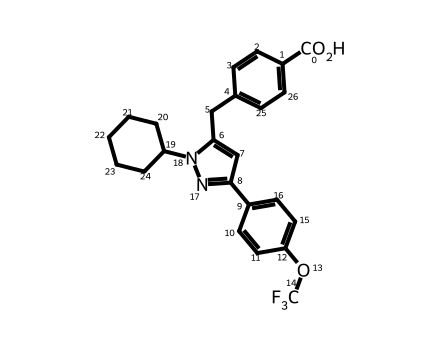 O=C(O)c1ccc(Cc2cc(-c3ccc(OC(F)(F)F)cc3)nn2C2CCCCC2)cc1